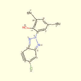 CC(C)(C)c1cc(-n2nc3c#cc(Cl)cc3n2)c(O)c(C(C)(C)C)c1